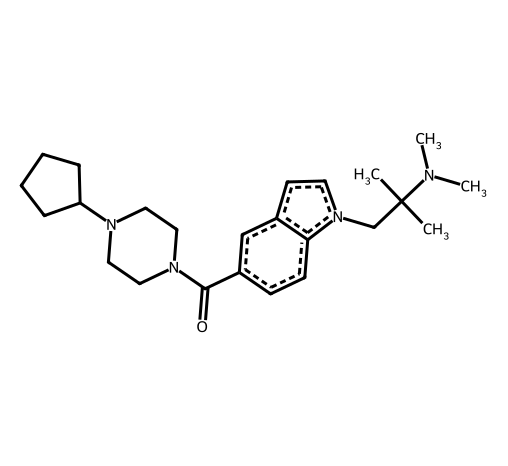 CN(C)C(C)(C)Cn1ccc2cc(C(=O)N3CCN(C4CCCC4)CC3)ccc21